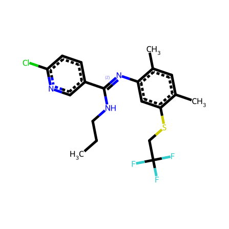 CCCN/C(=N\c1cc(SCC(F)(F)F)c(C)cc1C)c1ccc(Cl)nc1